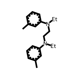 CCN(CCN(CC)c1cccc(C)c1)c1cccc(C)c1